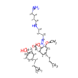 C=CCc1ccc(O)c(OC)c1.C=CCc1ccc(O)c(OC)c1.NCCCCNCCCN